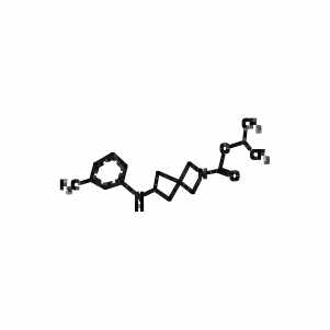 O=C(OC(C(F)(F)F)C(F)(F)F)N1CC2(CC(Nc3cccc(C(F)(F)F)c3)C2)C1